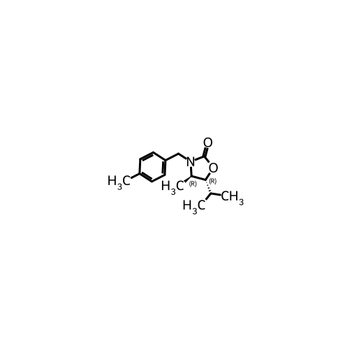 Cc1ccc(CN2C(=O)O[C@H](C(C)C)[C@H]2C)cc1